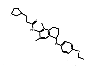 CCOc1ccc(NC2CCCc3c2cc(C)c(NC(=O)CCC2CCCC2)c3C)cc1